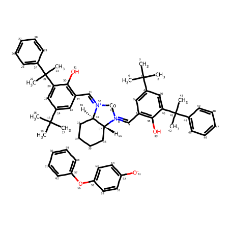 CC(C)(C)c1cc(C=[N+]2[Co][N+](=Cc3cc(C(C)(C)C)cc(C(C)(C)c4ccccc4)c3O)[C@@H]3CCCC[C@H]32)c(O)c(C(C)(C)c2ccccc2)c1.[O-]c1ccc(Oc2ccccc2)cc1